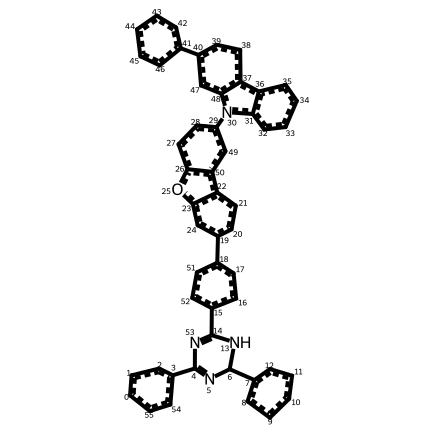 c1ccc(C2=NC(c3ccccc3)NC(c3ccc(-c4ccc5c(c4)oc4ccc(-n6c7ccccc7c7ccc(-c8ccccc8)cc76)cc45)cc3)=N2)cc1